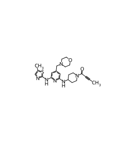 CC#CC(=O)N1CCC(Nc2cc(CN3CCOCC3)cc(Nc3ncc(C)s3)n2)CC1